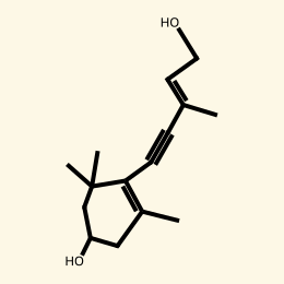 CC(C#CC1=C(C)CC(O)CC1(C)C)=CCO